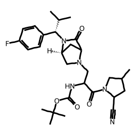 CC1CC(C#N)N(C(=O)C(CN2C[C@@H]3CC2C(=O)N3[C@H](c2ccc(F)cc2)C(C)C)NC(=O)OC(C)(C)C)C1